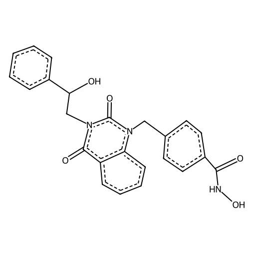 O=C(NO)c1ccc(Cn2c(=O)n(CC(O)c3ccccc3)c(=O)c3ccccc32)cc1